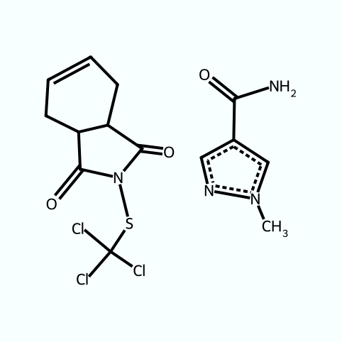 Cn1cc(C(N)=O)cn1.O=C1C2CC=CCC2C(=O)N1SC(Cl)(Cl)Cl